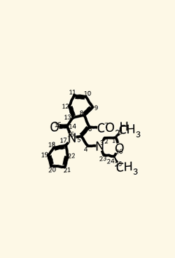 C[C@@H]1CN(Cc2c(C(=O)O)c3ccccc3c(=O)n2-c2ccccc2)C[C@H](C)O1